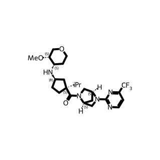 CO[C@@H]1COCC[C@@H]1N[C@@H]1CC[C@@](C(=O)N2C[C@@H]3C[C@H]2CN3c2nccc(C(F)(F)F)n2)(C(C)C)C1